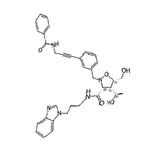 C[C@@H](O)[C@H]1[C@@H](CO)ON(Cc2cccc(C#CCNC(=O)c3ccccc3)c2)[C@H]1C(=O)NCCCn1cnc2ccccc21